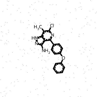 Cc1c(Cl)nc(-c2ccc(Oc3ccccc3)cc2)c2c(N)n[nH]c12